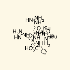 CC[C@H](C)[C@H](N)C(=O)N[C@H](C(=O)N[C@@H](CCCNC(=N)N)C(=O)N[C@@H](CCCNC(=N)N)C(=O)N[C@@H](Cc1ccccc1)C(=O)O)[C@@H](C)CC